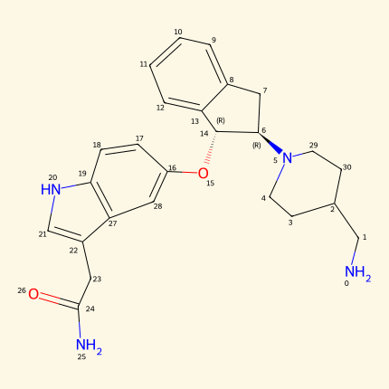 NCC1CCN([C@@H]2Cc3ccccc3[C@H]2Oc2ccc3[nH]cc(CC(N)=O)c3c2)CC1